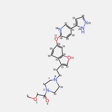 COCC(=O)N1CCN(CCc2coc3cc(Oc4ccc(-c5ccn[nH]5)cn4)ccc23)CC1